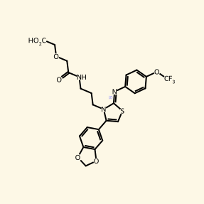 O=C(O)COCC(=O)NCCCn1c(-c2ccc3c(c2)OCO3)cs/c1=N\c1ccc(OC(F)(F)F)cc1